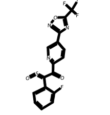 O=S=C(C(=O)c1ccc(-c2noc(C(F)(F)F)n2)cn1)c1ccccc1F